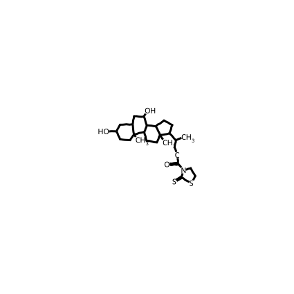 CC(CCC(=O)N1CCSC1=S)C1CCC2C3C(O)CC4CC(O)CCC4(C)C3CCC12C